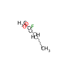 CCCCCCCC1CC[C@@H]2CC(c3ccc4cc(C(=O)OC)cc(F)c4c3)CC[C@H]2C1